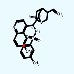 C=CC1CN2CCC1C[C@H]2[C@@H](NS(=O)(=O)c1cccc(C)c1)c1ccnc2ccc(OC)cc12